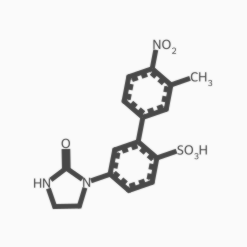 Cc1cc(-c2cc(N3CCNC3=O)ccc2S(=O)(=O)O)ccc1[N+](=O)[O-]